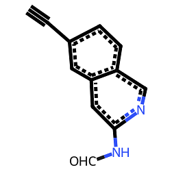 C#Cc1ccc2cnc(NC=O)cc2c1